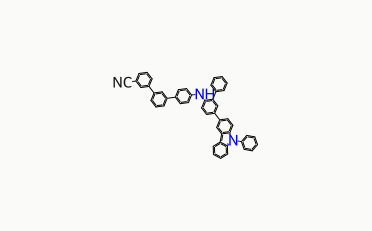 N#Cc1cccc(-c2cccc(-c3ccc(Nc4ccc(-c5ccc6c(c5)c5ccccc5n6-c5ccccc5)cc4-c4ccccc4)cc3)c2)c1